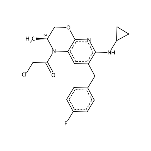 C[C@H]1COc2nc(NC3CC3)c(Cc3ccc(F)cc3)cc2N1C(=O)CCl